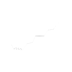 OCCCCCC/C=C\I